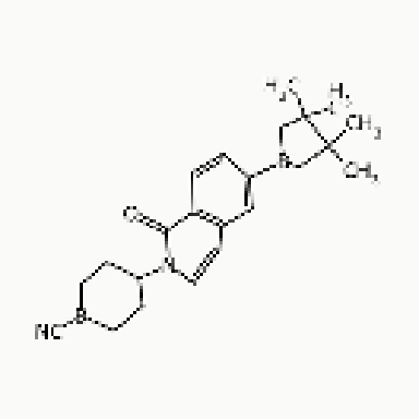 CC1(C)CB(c2ccc3c(=O)n(C4CCB(C#N)CC4)ccc3c2)CC1(C)C